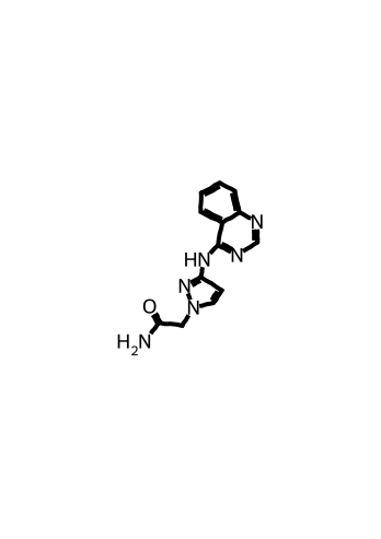 NC(=O)Cn1ccc(Nc2ncnc3ccccc23)n1